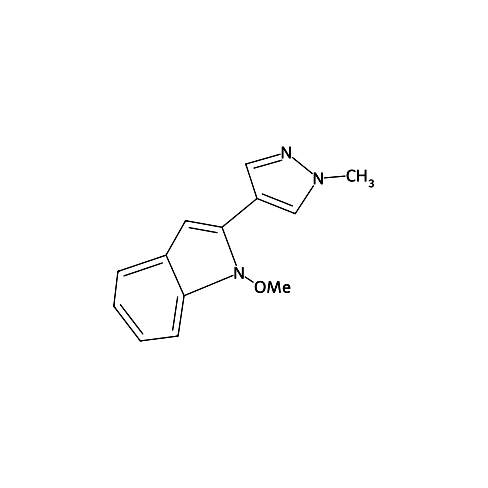 COn1c(-c2cnn(C)c2)cc2ccccc21